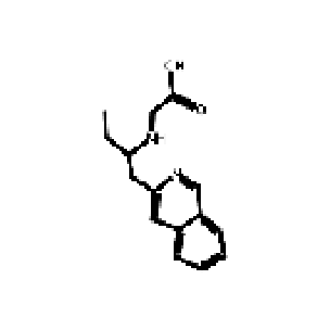 CCC(Cc1cc2ccccc2cn1)NCC(=O)O